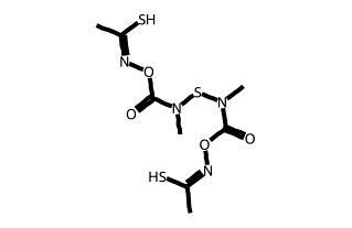 CC(S)=NOC(=O)N(C)SN(C)C(=O)ON=C(C)S